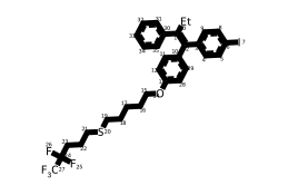 CC/C(=C(\c1ccc(I)cc1)c1ccc(OCCCCCSCCCC(F)(F)C(F)(F)F)cc1)c1ccccc1